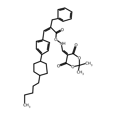 CCCCCC1CCC(c2ccc(C=C(Cc3ccccc3)C(=O)ONC=C3C(=O)OC(C)(C)OC3=O)cc2)CC1